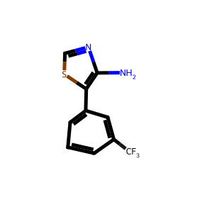 Nc1ncsc1-c1cccc(C(F)(F)F)c1